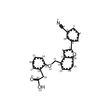 N#Cc1cccc(-c2cc3c(COc4ccccc4CC(=O)O)cccc3o2)c1